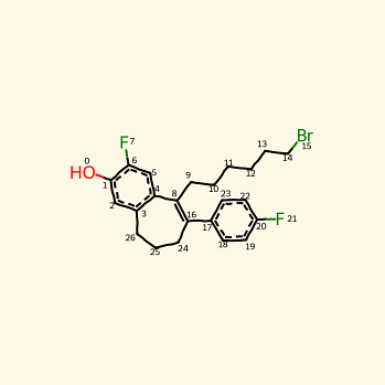 Oc1cc2c(cc1F)C(CCCCCCBr)=C(c1ccc(F)cc1)CCC2